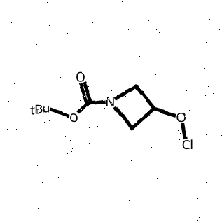 CC(C)(C)OC(=O)N1CC(OCl)C1